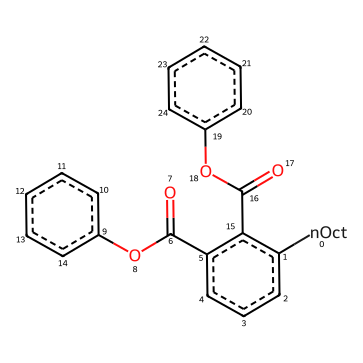 CCCCCCCCc1cccc(C(=O)Oc2ccccc2)c1C(=O)Oc1ccccc1